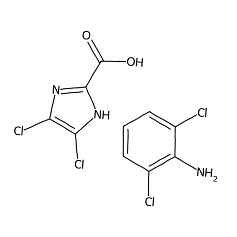 Nc1c(Cl)cccc1Cl.O=C(O)c1nc(Cl)c(Cl)[nH]1